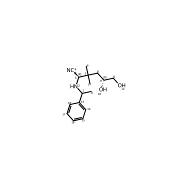 CC(N[C@@H](C#N)C(C)(C)C[C@@H](O)CO)c1ccccc1